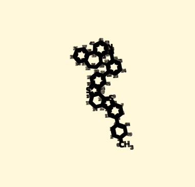 CC1C=CC(c2ccc3sc4c(c3c2)CCc2sc3ccc(-c5cccc(C#N)c5[C@H]5CCc6ccccc6-c6ccccc65)cc3c2-4)=CC1